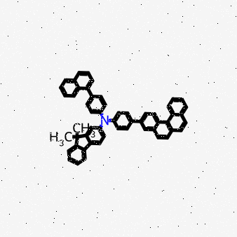 CC1(C)c2ccccc2-c2ccc(N(c3ccc(-c4ccc5c(ccc6ccc7ccccc7c65)c4)cc3)c3ccc(-c4cccc5ccccc45)cc3)cc21